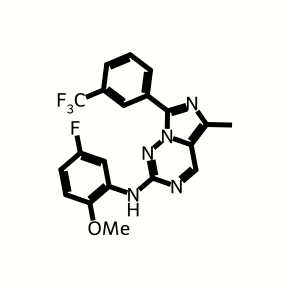 COc1ccc(F)cc1Nc1ncc2c(C)nc(-c3cccc(C(F)(F)F)c3)n2n1